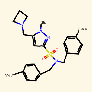 COc1ccc(CN(Cc2ccc(OC)cc2)S(=O)(=O)c2cc(CN3CCC3)n(C(C)(C)C)n2)cc1